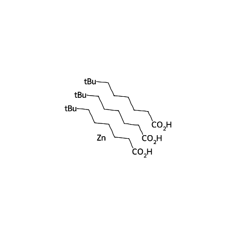 CC(C)(C)CCCCCC(=O)O.CC(C)(C)CCCCCC(=O)O.CC(C)(C)CCCCCC(=O)O.[Zn]